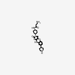 NCCC(=O)N[C@H]1CC[C@H](n2cc3c(nc2=O)Nc2cc(C4CCNCC4)ccc2O3)CC1